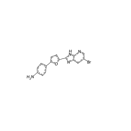 Nc1ccc(-c2ccc(-c3nc4cc(Br)cnc4[nH]3)o2)cc1